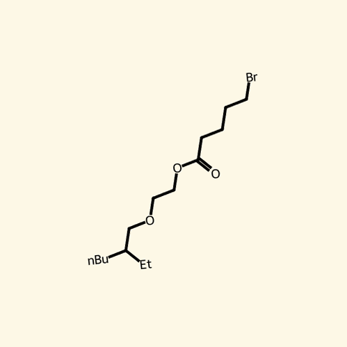 CCCCC(CC)COCCOC(=O)CCCCBr